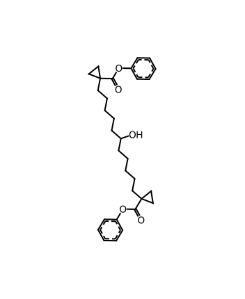 O=C(Oc1ccccc1)C1(CCCCCC(O)CCCCCC2(C(=O)Oc3ccccc3)CC2)CC1